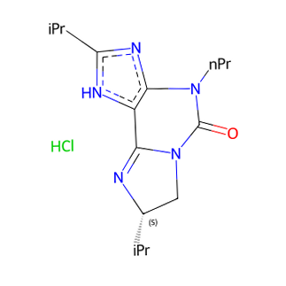 CCCN1C(=O)N2C[C@H](C(C)C)N=C2c2[nH]c(C(C)C)nc21.Cl